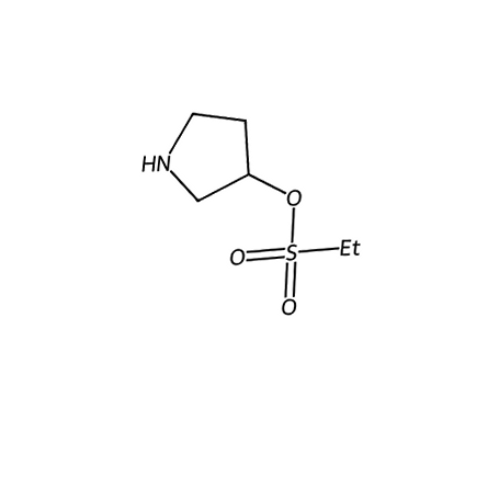 CCS(=O)(=O)OC1CCNC1